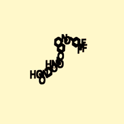 O=C(COc1ccc2c(c1)CCC/C2=N/OCc1ccc(C(F)(F)F)cc1)NOC1CCN(C(=O)O)CC1